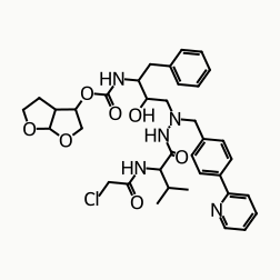 CC(C)C(NC(=O)CCl)C(=O)NN(Cc1ccc(-c2ccccn2)cc1)CC(O)C(Cc1ccccc1)NC(=O)OC1COC2OCCC12